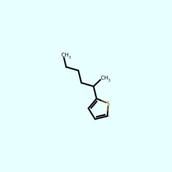 CCCCC(C)c1cc[c]s1